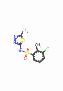 Cc1c(Cl)cccc1S(=O)(=O)Nc1nnc(C(F)(F)F)s1